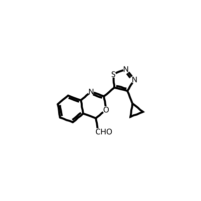 O=CC1OC(c2snnc2C2CC2)=Nc2ccccc21